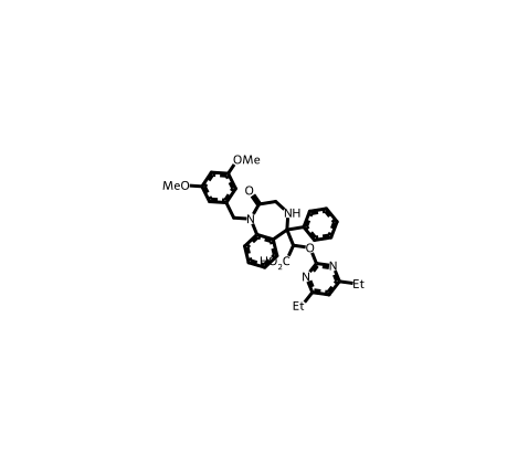 CCc1cc(CC)nc(OC(C(=O)O)C2(c3ccccc3)NCC(=O)N(Cc3cc(OC)cc(OC)c3)c3ccccc32)n1